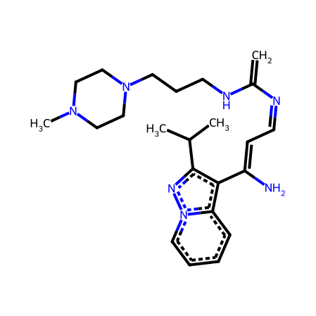 C=C(/N=C\C=C(/N)c1c(C(C)C)nn2ccccc12)NCCCN1CCN(C)CC1